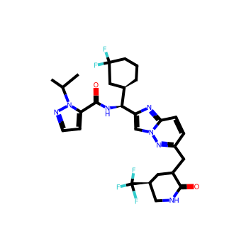 CC(C)n1nccc1C(=O)N[C@H](c1cn2nc(CC3C[C@H](C(F)(F)F)CNC3=O)ccc2n1)[C@@H]1CCCC(F)(F)C1